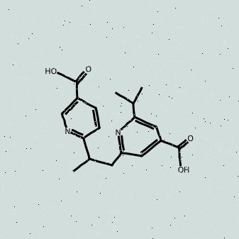 CC(C)c1cc(C(=O)O)cc(CC(C)c2ccc(C(=O)O)cn2)n1